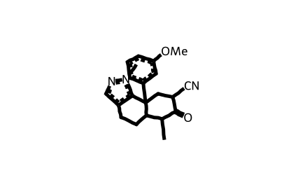 COc1cccc(C23CC(C#N)C(=O)C(C)C2CCc2cnn(C)c23)c1